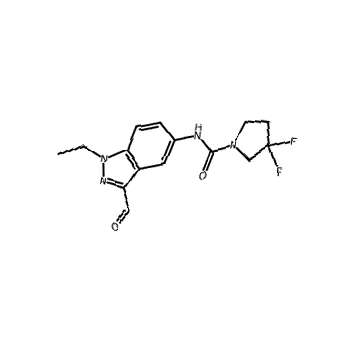 CCn1nc(C=O)c2cc(NC(=O)N3CCC(F)(F)C3)ccc21